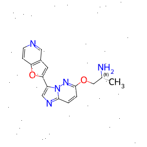 C[C@@H](N)COc1ccc2ncc(-c3cc4cnccc4o3)n2n1